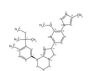 CCC(C)(C)c1cc([C@@H]2CCCN3CC(c4ccc(-n5cnc(C)c5)c(OC)n4)N=C23)ccc1C